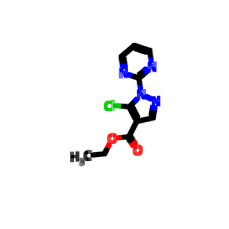 CCOC(=O)c1cnn(-c2ncccn2)c1Cl